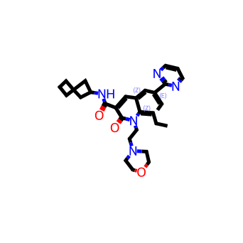 C\C=C(/C=c1/cc(C(=O)NC2CC3(CCC3)C2)c(=O)n(CCN2CCOCC2)/c1=C\CC)c1ncccn1